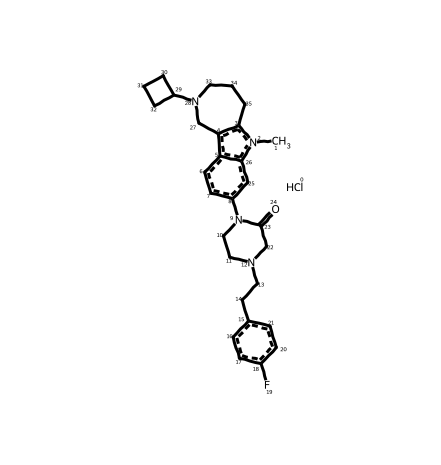 Cl.Cn1c2c(c3ccc(N4CCN(CCc5ccc(F)cc5)CC4=O)cc31)CN(C1CCC1)CCC2